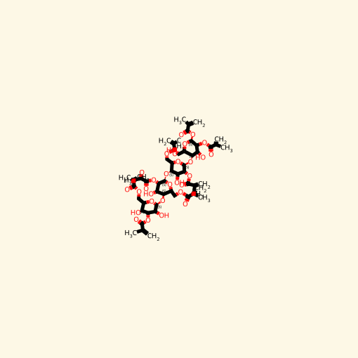 C=C(C)C(=O)OCC1O[C@@H](O[C@@H]2C(COC(=O)C(=C)C)O[C@@H](O[C@@H]3C(COC(=O)C(=C)C)O[C@@H](O[C@@H]4C(CO)O[C@@H](OC(=O)C(=C)C)C(OC(=O)C(=C)C)C4O)C(OC(=O)C(=C)C)C3O)C(OC(=O)C(C)=O)C2O)C(O)C(OC(=O)C(=C)C)[C@@H]1O